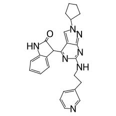 O=C1Nc2ccccc2C1c1nc(NCCc2cccnc2)nc2nn(C3CCCC3)cc12